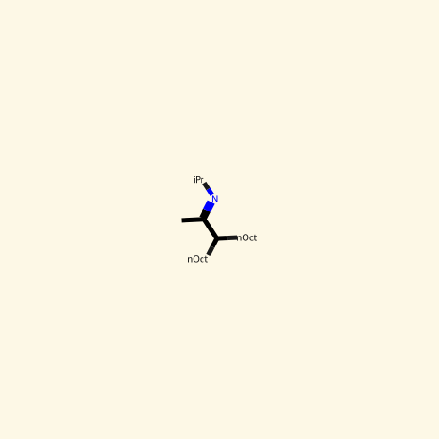 CCCCCCCCC(CCCCCCCC)/C(C)=N/C(C)C